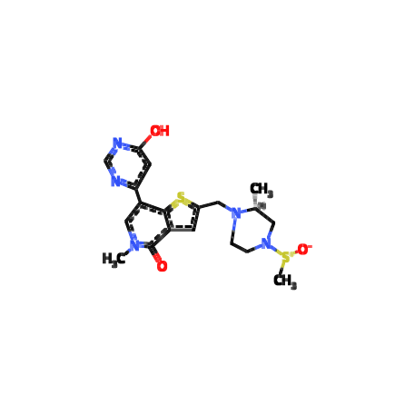 C[C@@H]1CN([S+](C)[O-])CCN1Cc1cc2c(=O)n(C)cc(-c3cc(O)ncn3)c2s1